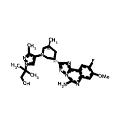 COc1cc2nc(N)n3nc([C@H]4C[C@H](C)CN(c5cn(C(C)(C)CO)nc5C)C4)nc3c2cc1F